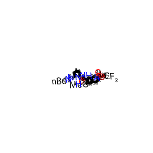 CCCC/C=N/N=C/C1=CC=CC(NC(=O)c2cc3c(cc2OC)CCN(C(=O)OCC(F)(F)F)C3)N1